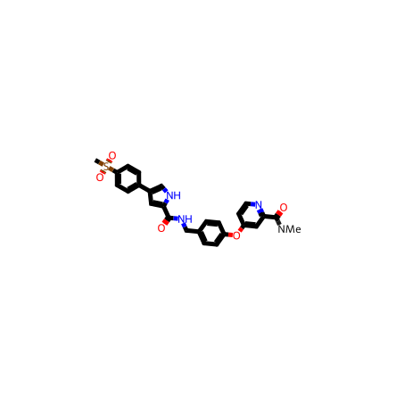 CNC(=O)c1cc(Oc2ccc(CNC(=O)c3cc(-c4ccc(S(C)(=O)=O)cc4)c[nH]3)cc2)ccn1